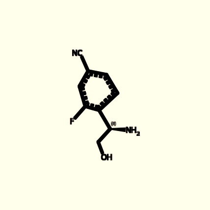 N#Cc1ccc([C@@H](N)CO)c(F)c1